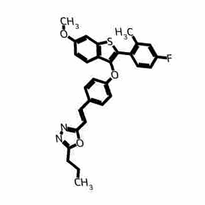 CCCc1nnc(/C=C/c2ccc(Oc3c(-c4ccc(F)cc4C)sc4cc(OC)ccc34)cc2)o1